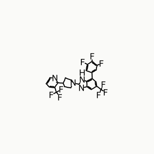 Fc1cc(-c2cc(C(F)(F)F)cc3nc(N4CCC(c5ncccc5C(F)(F)F)CC4)[nH]c23)cc(F)c1F